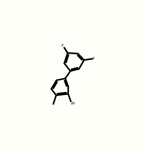 Cc1ccc(-c2cc(F)cc(F)c2)cc1C(C)C